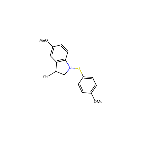 CCCC1CN(Sc2ccc(OC)cc2)c2ccc(OC)cc21